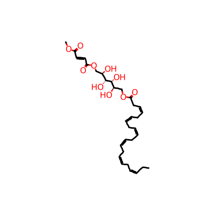 CC/C=C\C/C=C\C/C=C\C/C=C\C/C=C\C/C=C\CC(=O)OC[C@@H](O)[C@@H](O)[C@H](O)[C@H](O)COC(=O)/C=C/C(=O)OC